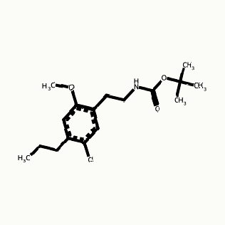 CCCc1cc(OC)c(CCNC(=O)OC(C)(C)C)cc1Cl